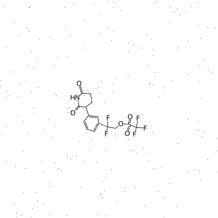 O=C1CCC(c2cccc(C(F)(F)COS(=O)(=O)C(F)(F)F)c2)C(=O)N1